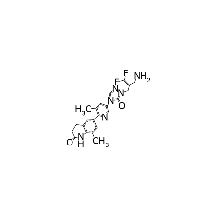 Cc1cc(-n2cnn(CC(CN)=C(F)F)c2=O)cnc1-c1cc(C)c2c(c1)CCC(=O)N2